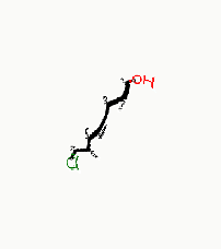 OC=CCCCCCCl